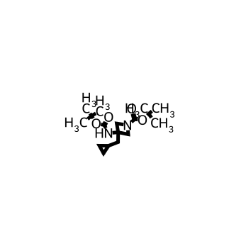 CC(C)(C)OC(=O)NC1(CC2CC2)CN(C(=O)OC(C)(C)C)C1